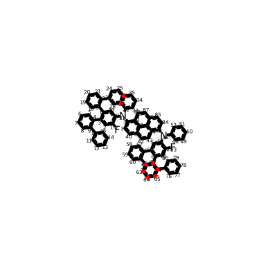 Fc1cc(-c2ccccc2-c2ccccc2)c(-c2ccccc2-c2ccccc2)cc1N(c1ccccc1)c1ccc2ccc3c(N(c4ccccc4)c4cc(-c5ccccc5-c5ccccc5)c(-c5ccccc5-c5ccccc5)cc4F)ccc4ccc1c2c43